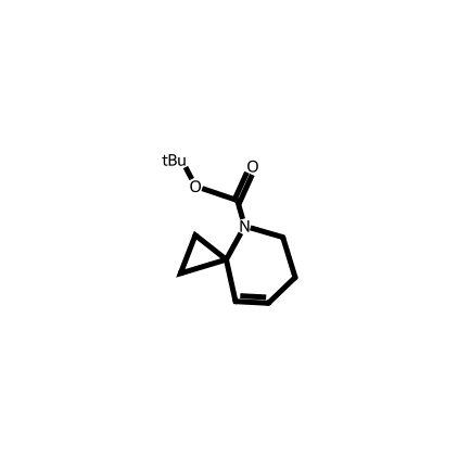 CC(C)(C)OC(=O)N1CCC=CC12CC2